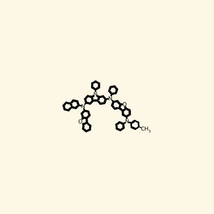 C[C@H]1C=CC(N(c2ccccc2)c2ccc3oc4cc(N(c5ccccc5)c5ccc6c7cc(N(c8ccc9ccccc9c8)c8ccc9c(c8)oc8ccccc89)ccc7n(-c7ccccc7)c6c5)ccc4c3c2)=CC1